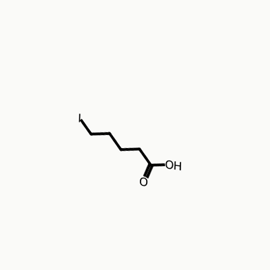 O=C(O)CCCCI